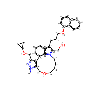 Cn1nc(COC2CC2)c2c1COCCCCn1c(CO)c(CCCOc3cccc4ccccc34)c3cccc-2c31